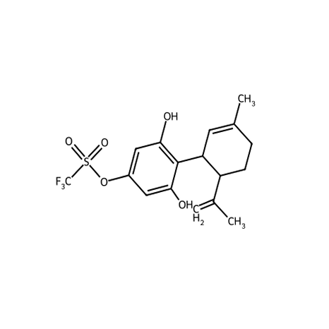 C=C(C)C1CCC(C)=CC1c1c(O)cc(OS(=O)(=O)C(F)(F)F)cc1O